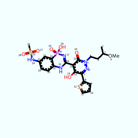 COC(C)CCn1nc(-c2cccs2)c(O)c(C2=NP(=O)(O)c3cc(NS(C)(=O)=O)ccc3N2)c1=O